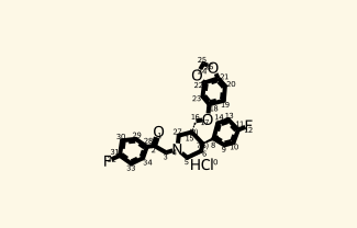 Cl.O=C(CN1CC[C@H](c2ccc(F)cc2)[C@@H](COc2ccc3c(c2)OCO3)C1)c1ccc(F)cc1